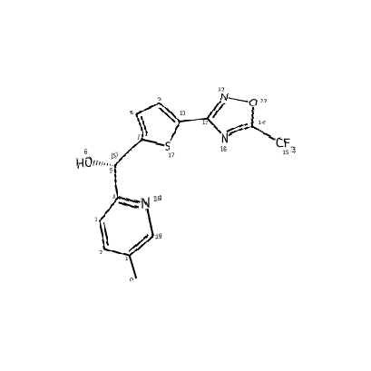 Cc1ccc([C@H](O)c2ccc(-c3noc(C(F)(F)F)n3)s2)nc1